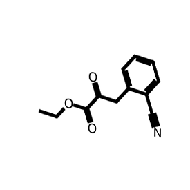 CCOC(=O)C(=O)Cc1ccccc1C#N